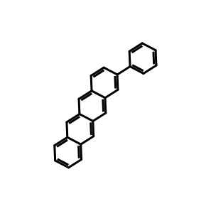 c1ccc(-c2ccc3cc4cc5ccccc5cc4cc3c2)cc1